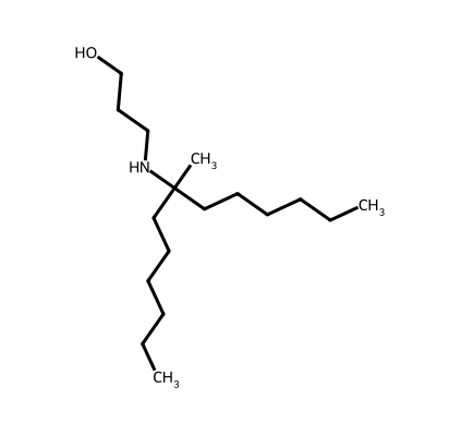 CCCCCCC(C)(CCCCCC)NCCCO